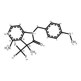 COc1ccc(CN2C(=O)C(C)(C(F)(F)F)c3c2ccnc3N)cc1